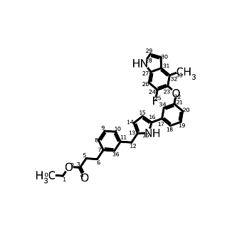 CCOC(=O)CCc1cccc(Cc2ccc(-c3cccc(Oc4c(F)cc5[nH]ccc5c4C)c3)[nH]2)c1